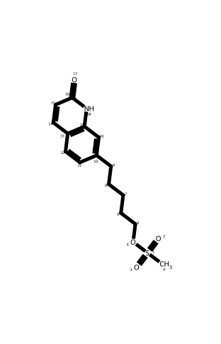 CS(=O)(=O)OCCCCCc1ccc2ccc(=O)[nH]c2c1